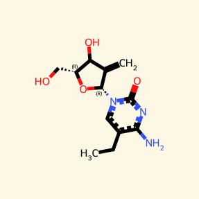 C=C1C(O)[C@@H](CO)O[C@H]1n1cc(CC)c(N)nc1=O